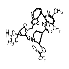 Cc1cc(C)c(NC(=O)C2CCNC(OC(=O)C(F)(F)F)C2)c(-c2ccnc3cc(CN4C(=O)C5C(C4=O)C5(C)C)sc23)n1